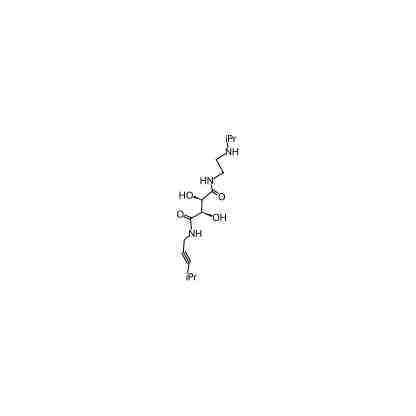 CC(C)C#CCNC(=O)[C@H](O)[C@@H](O)C(=O)NCCNC(C)C